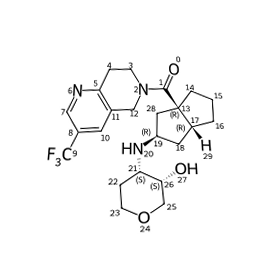 O=C(N1CCc2ncc(C(F)(F)F)cc2C1)[C@@]12CCC[C@@H]1C[C@@H](N[C@H]1CCOC[C@H]1O)C2